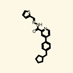 O=C(N/N=C/c1cccs1)c1cc(-c2ccc(CC3CCCC3)cc2)ccn1